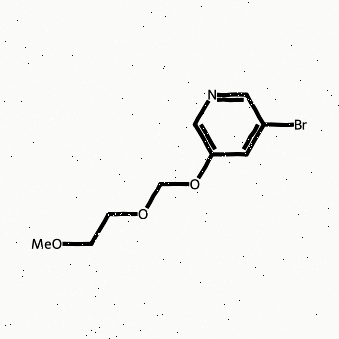 COCCOCOc1cncc(Br)c1